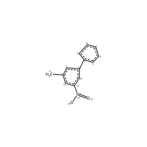 Cc1cc(-c2ccccc2)cc([N+](=O)[O-])c1